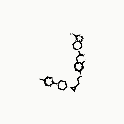 CCc1nnc2n1CCN(C(=O)Cc1ccc(OCCC3C[C@@H]3C3CCN(c4ncc(Cl)cn4)CC3)cc1F)C2